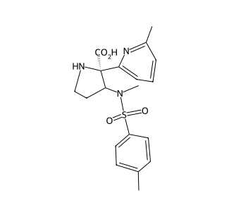 Cc1ccc(S(=O)(=O)N(C)C2CCN[C@@]2(C(=O)O)c2cccc(C)n2)cc1